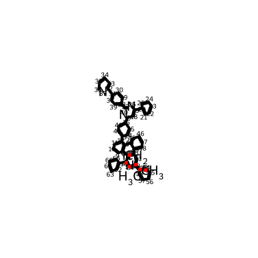 C=C(/C=C\C=C(C)C)c1cccc(-c2ccc(-c3cc(-c4ccccc4)nc(-c4ccc(-c5ccccn5)cc4)n3)cc2)c1-c1ccccc1-c1cc(-c2ccccc2)nc(-c2ccccc2)n1